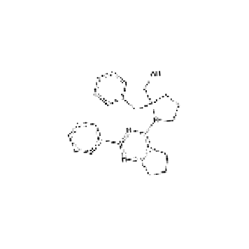 OCC1(Cc2ccccc2)CCCN1c1nc(-c2ccccc2)nc2c1CCC2